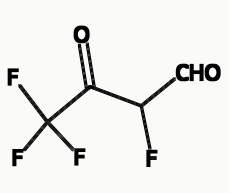 O=CC(F)C(=O)C(F)(F)F